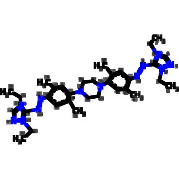 CCn1nc[n+](CC)c1/N=N/c1cc(C)c(N2CCN(c3cc(C)c(/N=N/c4n(CC)nc[n+]4CC)cc3C)CC2)cc1C